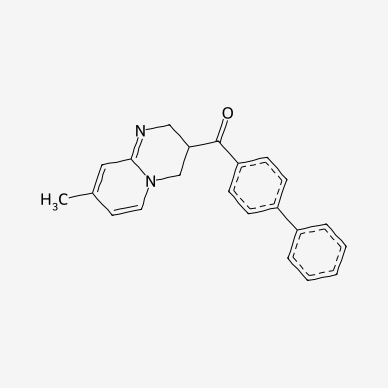 CC1=CC2=NCC(C(=O)c3ccc(-c4ccccc4)cc3)CN2C=C1